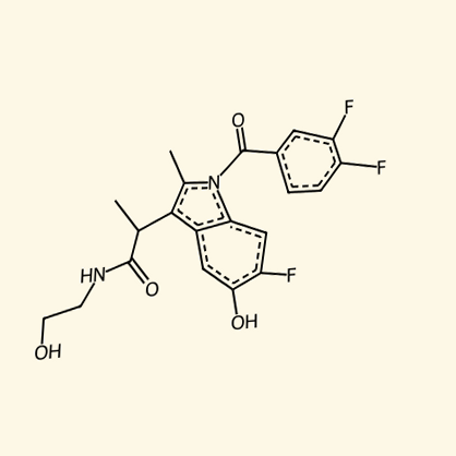 Cc1c(C(C)C(=O)NCCO)c2cc(O)c(F)cc2n1C(=O)c1ccc(F)c(F)c1